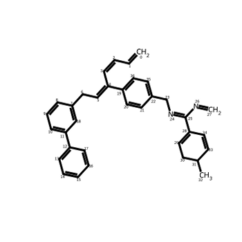 C=C/C=C\C(=C/Cc1cccc(-c2ccccc2)c1)c1ccc(C/N=C(\N=C)C2=CCC(C)C=C2)cc1